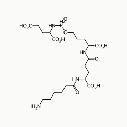 NCCCCCC(=O)NC(CCC(=O)NC(CCCO[PH](=O)NC(CCC(=O)O)C(=O)O)C(=O)O)C(=O)O